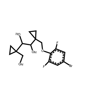 OCC1(C(O)C(O)C2(COc3c(F)cc(Br)cc3F)CC2)CC1